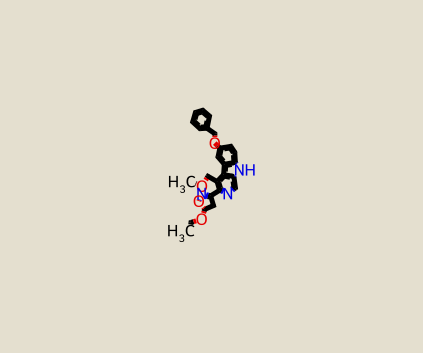 CCOC1CC(c2ncc3[nH]c4ccc(OCc5ccccc5)cc4c3c2COC)=NO1